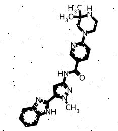 Cn1nc(NC(=O)c2ccc(N3CCNC(C)(C)C3)nc2)cc1-c1nc2ccccc2[nH]1